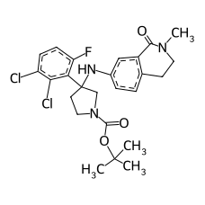 CN1CCc2ccc(NC3(c4c(F)ccc(Cl)c4Cl)CCN(C(=O)OC(C)(C)C)C3)cc2C1=O